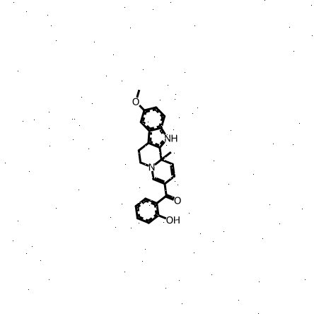 COc1ccc2[nH]c3c(c2c1)CCN1C=C(C(=O)c2ccccc2O)C=CC31C